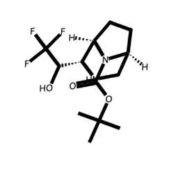 CC(C)(C)OC(=O)N1[C@H]2CC[C@@H]1[C@@H](C(O)C(F)(F)F)NC2